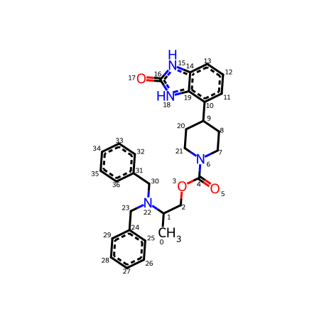 CC(COC(=O)N1CCC(c2cccc3[nH]c(=O)[nH]c23)CC1)N(Cc1ccccc1)Cc1ccccc1